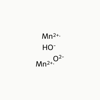 [Mn+2].[Mn+2].[O-2].[OH-]